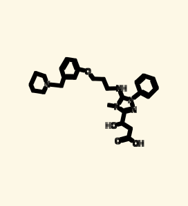 CN1C(C(O)CC(=O)O)=NN(c2ccccc2)C1NCCCOc1cccc(CN2CCCCC2)c1